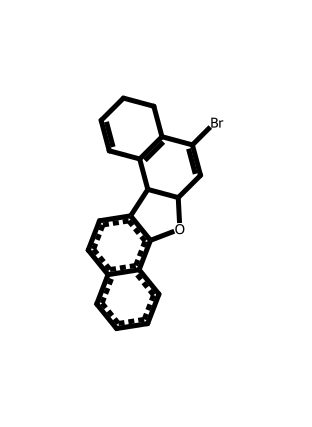 BrC1=CC2Oc3c(ccc4ccccc34)C2C2=C1CCC=C2